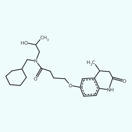 CC(O)CN(CC1CCCCC1)C(=O)CCCOc1ccc2c(c1)C(C)CC(=O)N2